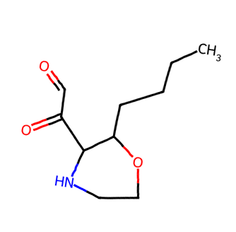 CCCCC1OCCNC1C(=O)C=O